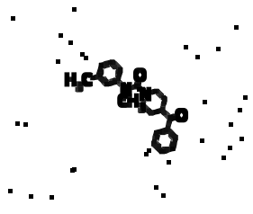 Cc1cccc(N(C)C(=O)N2CCC(C(=O)c3ccccc3)CC2)c1